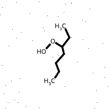 C[CH]C(CCCC)OO